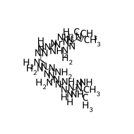 CCC(C)N(N=N)C1N=C(N/C(N)=N/N=C(\N)n2nc(N(N)/C=C(\N)c3n[nH]c(N/C(N)=N/N=C(\N)n4nc(C5=CC(C)(C)N5C)nc4N)n3)nc2N)NN1